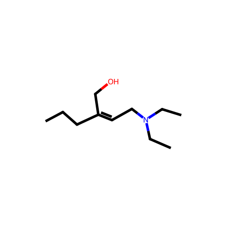 CCCC(=CCN(CC)CC)CO